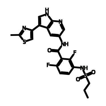 CCCS(=O)(=O)Nc1ccc(F)c(C(=O)Nc2cnc3[nH]cc(-c4csc(C)n4)c3c2)c1F